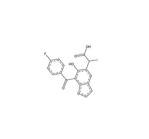 CC(C(=O)O)c1cc2ccoc2c(C(=O)c2ccc(F)cc2)c1O